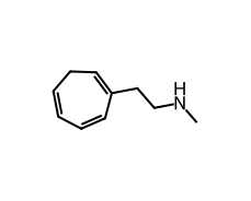 CNCCC1=CCC=CC=C1